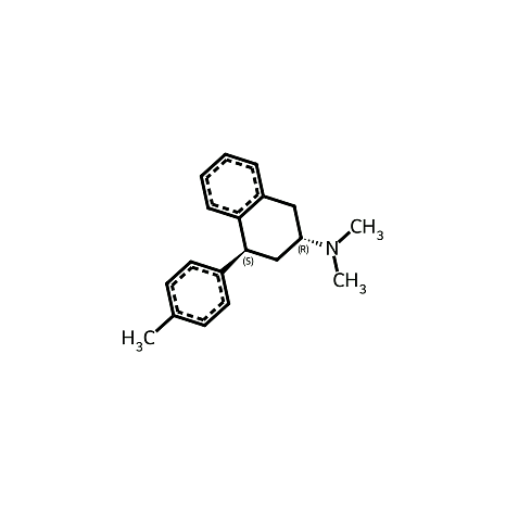 Cc1ccc([C@@H]2C[C@@H](N(C)C)Cc3ccccc32)cc1